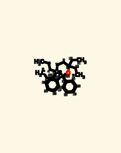 CC[CH2][Ge]1([CH2]CC)[CH2]CC(CC)(CC)[O][Ge]1([c]1ccccc1)[c]1ccccc1